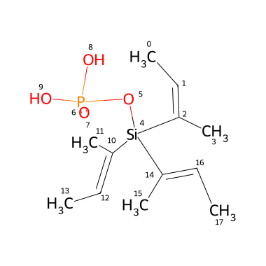 CC=C(C)[Si](OP(=O)(O)O)(C(C)=CC)C(C)=CC